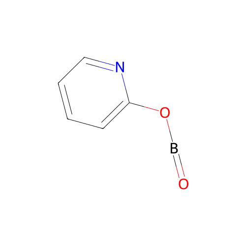 O=BOc1ccccn1